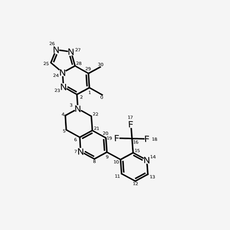 Cc1c(N2CCc3ncc(-c4cccnc4C(F)(F)F)cc3C2)nn2cnnc2c1C